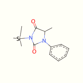 CC1C(=O)N([Si](C)(C)C)C(=O)N1c1ccccc1